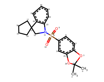 CC1(C)Oc2ccc(S(=O)(=O)N3CC4(CCCC4)c4ccccc43)cc2O1